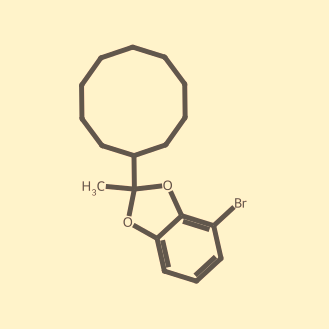 CC1(C2CCCCCCCCC2)Oc2cccc(Br)c2O1